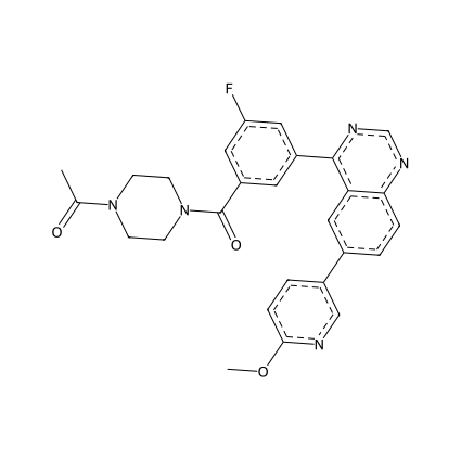 COc1ccc(-c2ccc3ncnc(-c4cc(F)cc(C(=O)N5CCN(C(C)=O)CC5)c4)c3c2)cn1